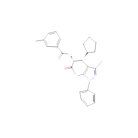 Cc1cccc(C(=O)N[C@@H]2C(=O)Nc3c(c(C)nn3-c3ccccc3)[C@@H]2C2CCCC2)c1